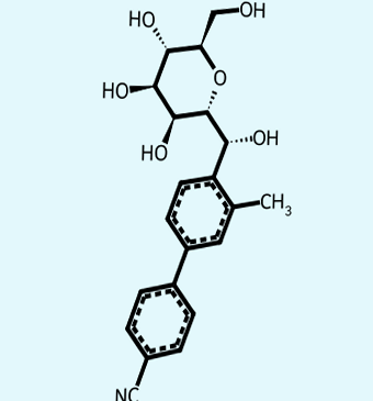 Cc1cc(-c2ccc(C#N)cc2)ccc1[C@@H](O)[C@H]1O[C@H](CO)[C@@H](O)[C@H](O)[C@@H]1O